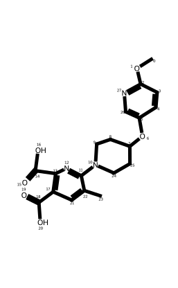 COc1ccc(OC2CCN(c3nc(C(=O)O)c(C(=O)O)cc3C)CC2)cn1